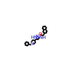 O=C(Cc1ccc2ccccc2c1)Nc1cc(C2CCN(Cc3ccccc3)CC2)[nH]n1